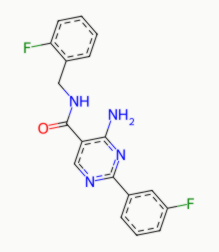 Nc1nc(-c2cccc(F)c2)ncc1C(=O)NCc1ccccc1F